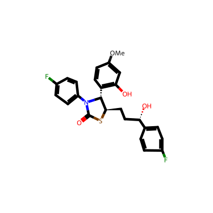 COc1ccc([C@@H]2[C@@H](CC[C@H](O)c3ccc(F)cc3)SC(=O)N2c2ccc(F)cc2)c(O)c1